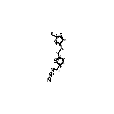 Cc1nc(CCc2ccc(CN=[N+]=[N-])s2)cs1